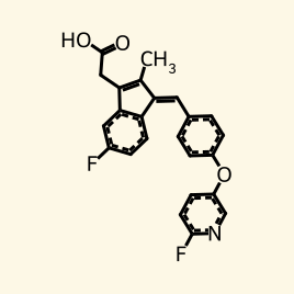 CC1=C(CC(=O)O)c2cc(F)ccc2/C1=C\c1ccc(Oc2ccc(F)nc2)cc1